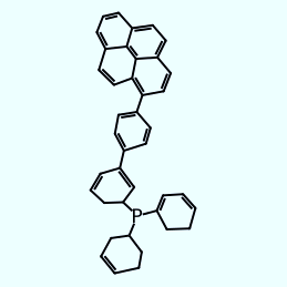 C1=CCCC(P(C2C=C(c3ccc(-c4ccc5ccc6cccc7ccc4c5c67)cc3)C=CC2)C2CC=CCC2)=C1